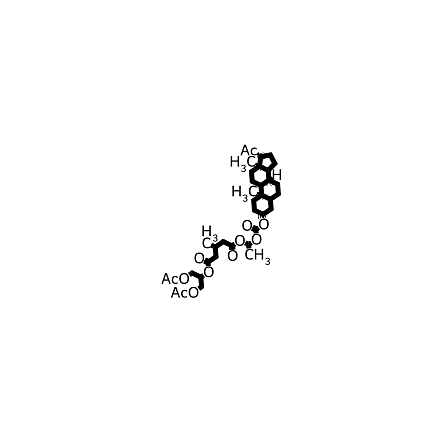 CC(=O)OCC(COC(C)=O)OC(=O)CC(C)CC(=O)OC(C)OC(=O)O[C@@H]1CC[C@@]2(C)C(CC[C@@H]3C2CC[C@@]2(C)C3CC[C@@H]2C(C)=O)C1